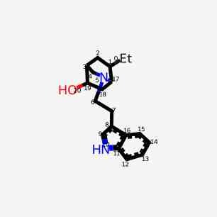 CCC1CC2CN(CCc3c[nH]c4ccccc34)C1CC2O